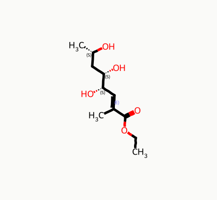 CCOC(=O)/C(C)=C/[C@H](O)[C@@H](O)C[C@H](C)O